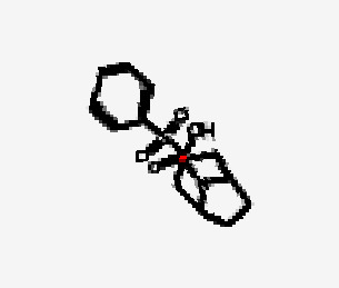 O=C(O)N1C2CCC1CC(S(=O)(=O)c1ccccc1)C2